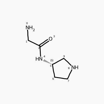 NCC(=O)N[C@H]1CCNC1